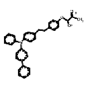 C=C(C)C(O)Oc1ccc(CCc2ccc(N(c3ccccc3)c3ccc(-c4ccccc4)cc3)cc2)cc1